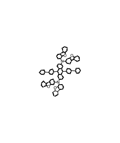 C1=CC2Oc3c(cccc3N(c3ccc4c(c3)oc3ccccc34)c3ccc4c(-c5ccc(-c6ccccc6)cc5)c5cc(N(c6ccc7c(c6)oc6ccccc67)c6cccc7c6oc6ccccc67)ccc5c(-c5ccc(-c6ccccc6)cc5)c4c3)C2C=C1